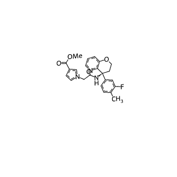 COC(=O)c1ccn(CC(=O)N[C@]2(c3ccc(C)c(F)c3)CCOc3cccnc32)c1